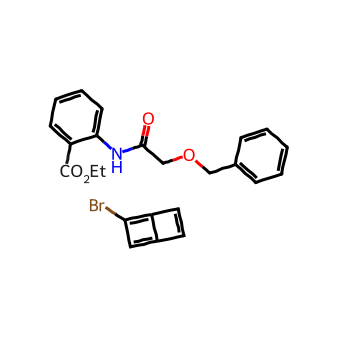 Brc1cc2ccc1-2.CCOC(=O)c1ccccc1NC(=O)COCc1ccccc1